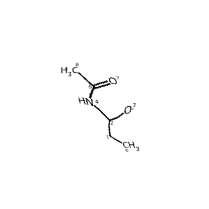 CCC([O])NC(C)=O